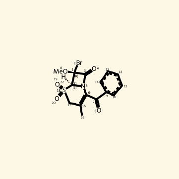 CO[C@@]1(Br)C(=O)N2C(C(=O)c3ccccc3)=C(C)CS(=O)(=O)[C@H]21